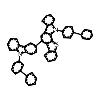 c1ccc(-c2ccc(-n3c4ccccc4c4cc(-c5ccc6c(c5)c5ccccc5n6-c5cccc(-c6ccccc6)c5)c5c6ccccc6sc5c43)cc2)cc1